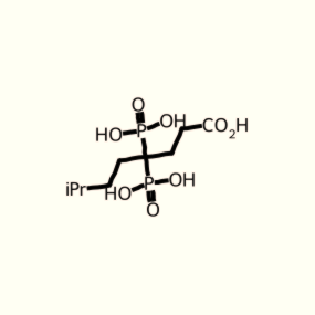 CC(C)CCC(CCC(=O)O)(P(=O)(O)O)P(=O)(O)O